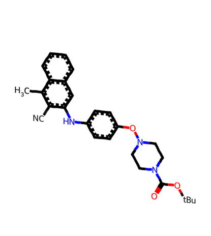 Cc1c(C#N)c(Nc2ccc(ON3CCN(C(=O)OC(C)(C)C)CC3)cc2)cc2ccccc12